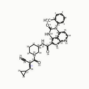 Cc1ccccc1N1C(=O)Nc2c(C(=O)N[C@@H]3CCCN(C(=O)/C(C#N)=C/C4CC4)C3)sc3nccc1c23